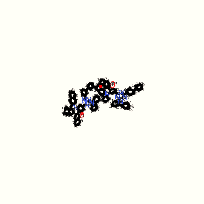 c1ccc(-c2ccc(-c3nc(-c4cc(-n5c6ccccc6c6cc7cc(-c8cccc(-c9cccc(-c%10nc(-c%11cc(-n%12c%13cc%14ccccc%14cc%13c%13c%14ccccc%14ccc%13%12)c%12c(c%11)oc%11c%13ccccc%13ccc%11%12)nc(-n%11c%12ccccc%12c%12ccccc%12%11)n%10)c9)c8)ccc7cc65)c5c(c4)oc4cc6ccccc6cc45)nc(-n4c5ccccc5c5ccccc54)n3)cc2)cc1